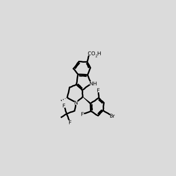 C[C@@H]1Cc2c([nH]c3cc(C(=O)O)ccc23)[C@@H](c2c(F)cc(Br)cc2F)N1CC(C)(F)F